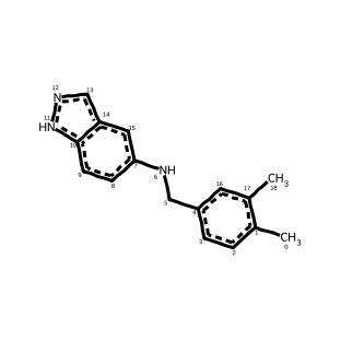 Cc1ccc(CNc2ccc3[nH]ncc3c2)cc1C